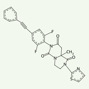 CC12CC(=O)N(c3c(F)cc(C#Cc4ccccc4)cc3F)C(=O)N1CCN(c1nccs1)C2=O